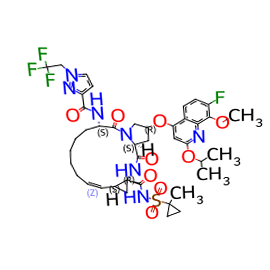 COc1c(F)ccc2c(O[C@@H]3C[C@H]4C(=O)N[C@]5(C(=O)NS(=O)(=O)C6(C)CC6)C[C@H]5/C=C\CCCCC[C@H](NC(=O)c5ccn(CC(F)(F)F)n5)C(=O)N4C3)cc(OC(C)C)nc12